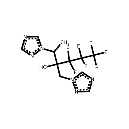 CC(n1cncn1)C(O)(Cn1cncn1)C(F)(F)C(F)(F)C(F)(F)F